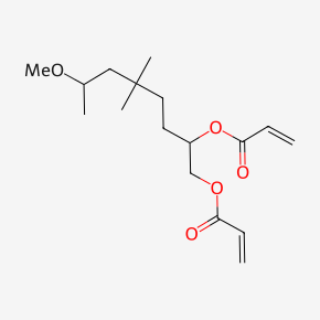 C=CC(=O)OCC(CCC(C)(C)CC(C)OC)OC(=O)C=C